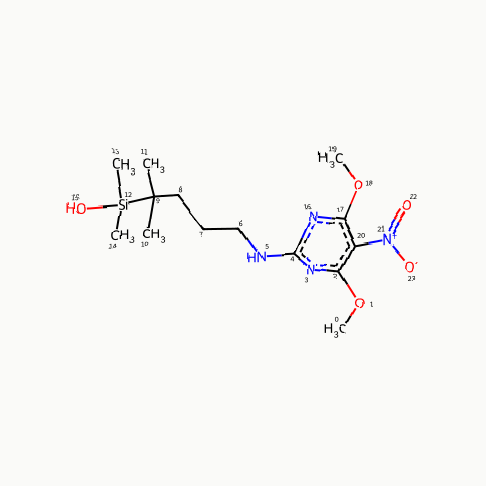 COc1nc(NCCCC(C)(C)[Si](C)(C)O)nc(OC)c1[N+](=O)[O-]